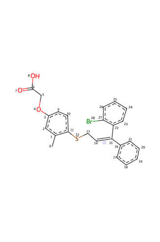 Cc1cc(OCC(=O)O)ccc1SC/C=C(/c1ccccc1)c1ccccc1Br